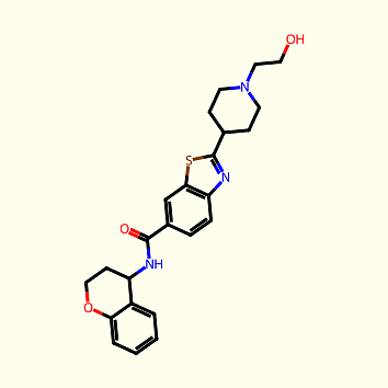 O=C(NC1CCOc2ccccc21)c1ccc2nc(C3CCN(CCO)CC3)sc2c1